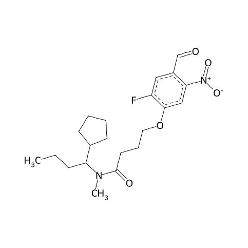 CCCC(C1CCCC1)N(C)C(=O)CCCOc1cc([N+](=O)[O-])c(C=O)cc1F